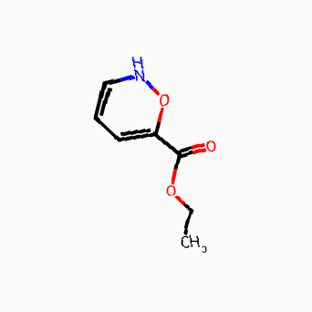 CCOC(=O)C1=CC=CNO1